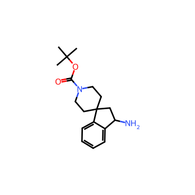 CC(C)(C)OC(=O)N1CCC2(CC1)CC(N)c1ccccc12